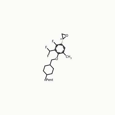 CCCCCC1CCC(COc2c(C)cc([C@@H]3CO3)c(F)c2C(F)F)CC1